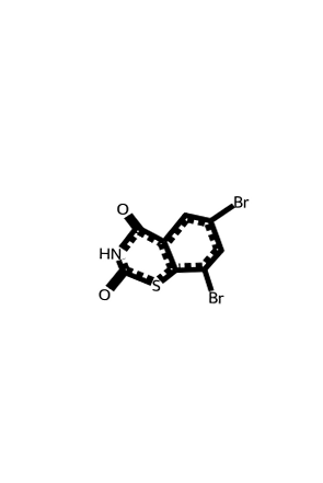 O=c1[nH]c(=O)c2cc(Br)cc(Br)c2s1